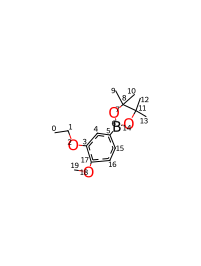 CCOc1cc(B2OC(C)(C)C(C)(C)O2)ccc1OC